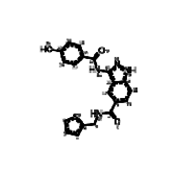 O=C(NCc1cccs1)c1ccc2[nH]nc(NC(=O)c3ccc(O)cc3)c2c1